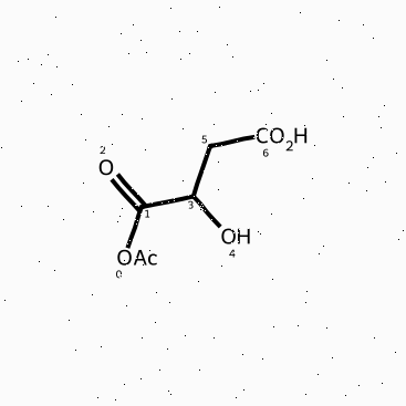 CC(=O)OC(=O)C(O)CC(=O)O